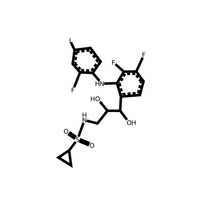 O=S(=O)(NCC(O)C(O)c1ccc(F)c(F)c1Nc1ccc(I)cc1F)C1CC1